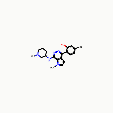 CC(C)N1CCC[C@@H](Nc2nnc(-c3ccc(C#N)cc3O)c3ccn(C)c23)C1